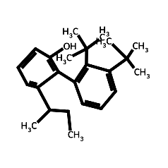 CCC(C)c1cccc(O)c1-c1cccc(C(C)(C)C)c1C(C)(C)C